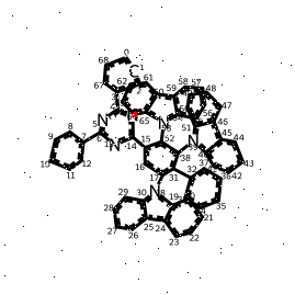 c1ccc(-c2nc(-c3ccccc3)nc(-c3cc(-n4c5ccccc5c5ccccc54)c(-c4ccccc4)c(-n4c5ccccc5c5ccccc54)c3-n3c4ccccc4c4ccccc43)n2)cc1